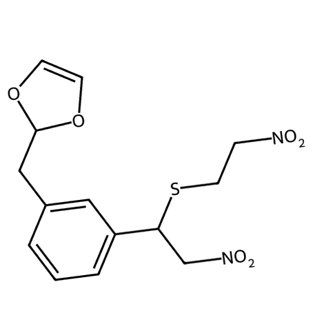 O=[N+]([O-])CCSC(C[N+](=O)[O-])c1cccc(CC2OC=CO2)c1